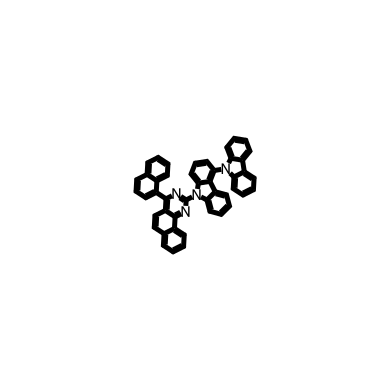 c1ccc2c(-c3nc(-n4c5ccccc5c5c(-n6c7ccccc7c7ccccc76)cccc54)nc4c3ccc3ccccc34)cccc2c1